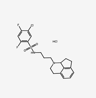 Cl.O=S(=O)(NCCCN1CCc2cccc3c2C1CC3)c1cc(Cl)c(F)cc1F